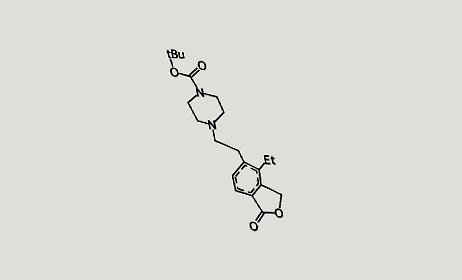 CCc1c(CCN2CCN(C(=O)OC(C)(C)C)CC2)ccc2c1COC2=O